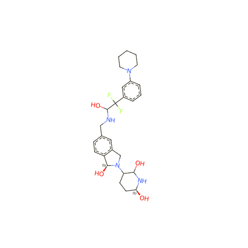 OC1N[C@@H](O)CCC1N1Cc2cc(CNC(O)C(F)(F)c3cccc(N4CCCCC4)c3)ccc2[C@@H]1O